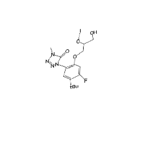 Cn1nnn(-c2cc(C(C)(C)C)c(F)cc2OCC(CO)OI)c1=O